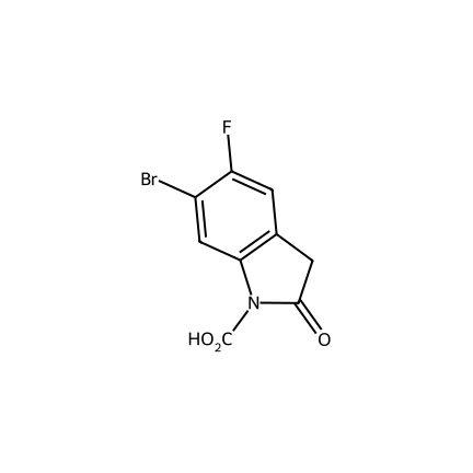 O=C(O)N1C(=O)Cc2cc(F)c(Br)cc21